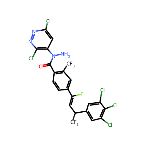 NN(C(=O)c1ccc(C(F)=CC(c2cc(Cl)c(Cl)c(Cl)c2)C(F)(F)F)cc1C(F)(F)F)c1cc(Cl)nnc1Cl